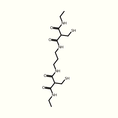 CCNC(=O)C(CS)C(=O)NCCCNC(=O)C(CS)C(=O)NCC